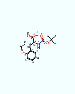 CC(C)(C)OC(=O)N[C@H](C(=O)O)[C@H]1CCOc2ccccc21